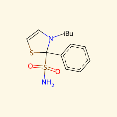 CCC(C)N1C=CSC1(c1ccccc1)S(N)(=O)=O